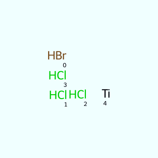 Br.Cl.Cl.Cl.[Ti]